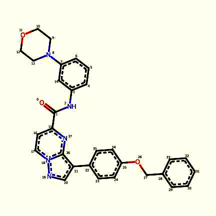 O=C(Nc1cccc(N2CCOCC2)c1)c1ccn2ncc(-c3ccc(OCc4ccccc4)cc3)c2n1